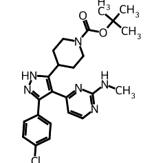 CNc1nccc(-c2c(-c3ccc(Cl)cc3)n[nH]c2C2CCN(C(=O)OC(C)(C)C)CC2)n1